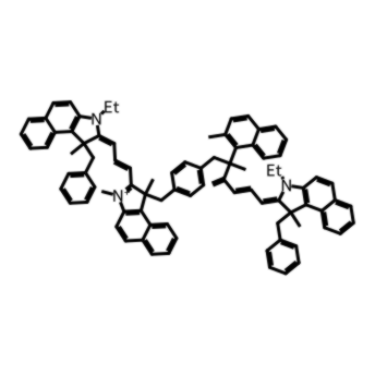 C=C(C=CC=C1N(CC)c2ccc3ccccc3c2C1(C)Cc1ccccc1)C(C)(Cc1ccc(CC2(C)C(C=C/C=C3/N(CC)c4ccc5ccccc5c4C3(C)Cc3ccccc3)=[N+](C)c3ccc4ccccc4c32)cc1)c1c(C)ccc2ccccc12